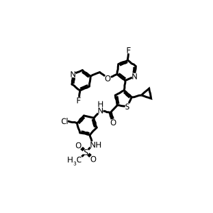 CS(=O)(=O)Nc1cc(Cl)cc(NC(=O)c2cc(-c3ncc(F)cc3OCc3cncc(F)c3)c(C3CC3)s2)c1